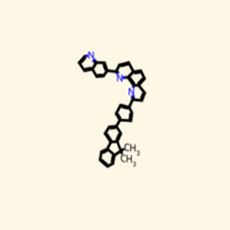 CC1(C)c2ccccc2-c2ccc(-c3ccc(-c4ccc5ccc6ccc(-c7ccc8cccnc8c7)nc6c5n4)cc3)cc21